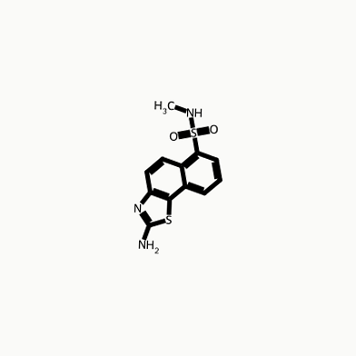 CNS(=O)(=O)c1cccc2c1ccc1nc(N)sc12